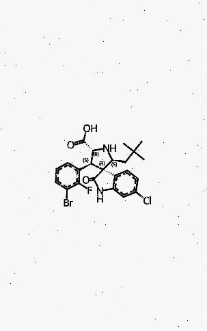 CC(C)(C)C[C@@H]1N[C@@H](C(=O)O)[C@H](c2cccc(Br)c2F)[C@]12C(=O)Nc1cc(Cl)ccc12